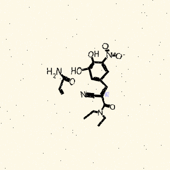 C=CC(N)=O.CCN(CC)C(=O)/C(C#N)=C/c1cc(O)c(O)c([N+](=O)[O-])c1